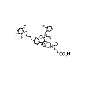 O=C(O)CCCC(=O)N1CC2CC(c3ccc(CCCOc4c(F)ccc(F)c4F)cc3)=C(C(=O)N(Cc3ccccc3F)C3CC3)C(C1)N2